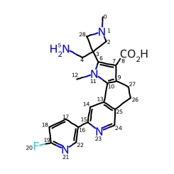 CN1CC(CN)(c2c(C(=O)O)c3c(n2C)-c2cc(-c4ccc(F)nc4)ncc2CC3)C1